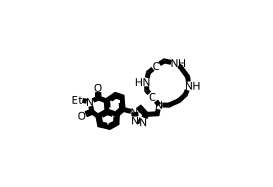 CCN1C(=O)c2cccc3c(-n4cc(CN5CCCNCCNCCCNCC5)nn4)ccc(c23)C1=O